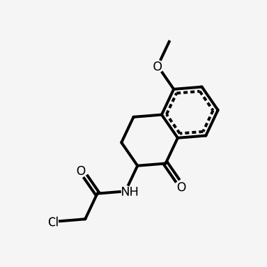 COc1cccc2c1CCC(NC(=O)CCl)C2=O